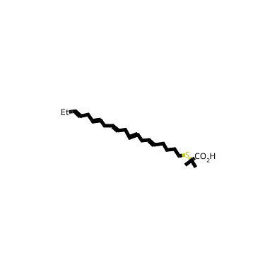 CCC=CCC=CCC=CCC=CCC=CCCCCSC(C)(C)C(=O)O